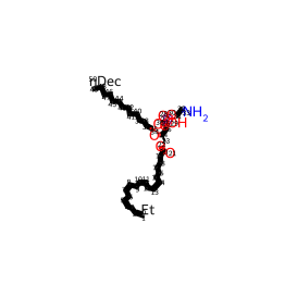 CC/C=C\C/C=C\C/C=C\C/C=C\C/C=C\CCCCCC(=O)OC[C@H](COP(=O)(O)OCCN)OC(=O)CCCCCCCCCCCCCCCCCCCCCCC